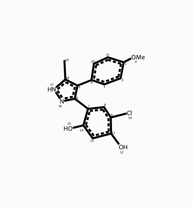 COc1ccc(-c2c(-c3cc(Cl)c(O)cc3O)n[nH]c2C)cc1